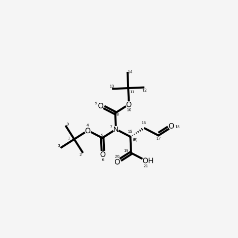 CC(C)(C)OC(=O)N(C(=O)OC(C)(C)C)[C@H](CC=O)C(=O)O